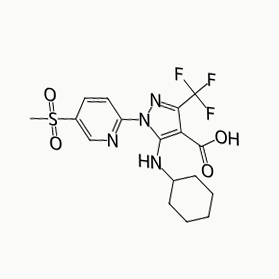 CS(=O)(=O)c1ccc(-n2nc(C(F)(F)F)c(C(=O)O)c2NC2CCCCC2)nc1